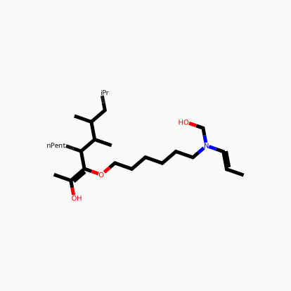 C/C=C/N(CO)CCCCCCO/C(=C(/C)O)C(CCCCC)C(C)C(C)CC(C)C